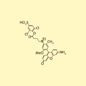 CCN(CCCC(=O)Oc1c(Cl)cc(S(=O)(=O)O)cc1Cl)c1cc(OC)c(-c2c3ccc(=O)cc-3oc3cc(N)ccc23)cc1C